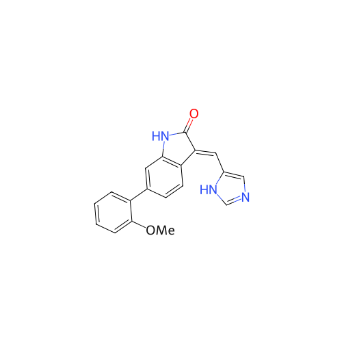 COc1ccccc1-c1ccc2c(c1)NC(=O)C2=Cc1cnc[nH]1